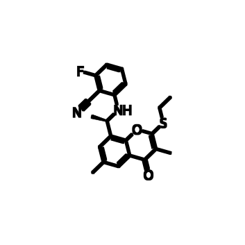 CCSc1oc2c([C@@H](C)Nc3cccc(F)c3C#N)cc(C)cc2c(=O)c1C